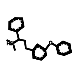 C[SiH](C)C(CCc1cccc(Oc2ccccc2)c1)c1ccccc1